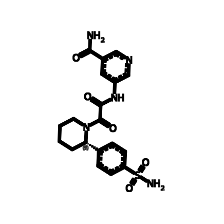 NC(=O)c1cncc(NC(=O)C(=O)N2CCCC[C@H]2c2ccc(S(N)(=O)=O)cc2)c1